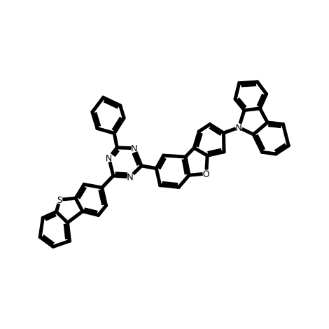 c1ccc(-c2nc(-c3ccc4c(c3)sc3ccccc34)nc(-c3ccc4oc5cc(-n6c7ccccc7c7ccccc76)ccc5c4c3)n2)cc1